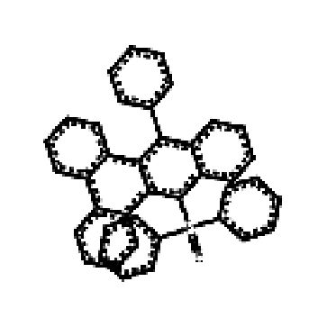 O=P(c1ccccc1)(c1ccccc1)c1c2ccccc2c(-c2ccccc2)c2c3ccccc3c3ccccc3c12